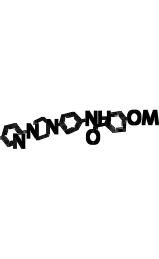 COc1ccc(C(=O)Nc2ccc(N3CCN(c4ccc(F)cn4)CC3)cc2)cc1